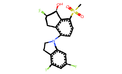 CS(=O)(=O)c1ccc(N2CCc3c(F)cc(F)cc32)c2c1[C@H](O)[C@H](F)C2